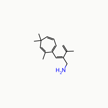 C=C(C)/C(=C\C1=CC=CC(C)(C)C=C1C)CN